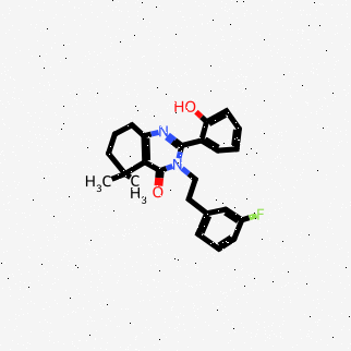 CC1(C)CCCc2nc(-c3ccccc3O)n(CCc3cccc(F)c3)c(=O)c21